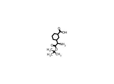 CC(C)(C)OC(=O)C(N)C1CCCC(C(=O)O)C1